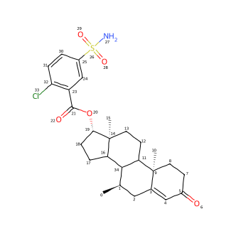 C[C@@H]1CC2=CC(=O)CC[C@]2(C)C2CC[C@@]3(C)C(CC[C@@H]3OC(=O)c3cc(S(N)(=O)=O)ccc3Cl)C21